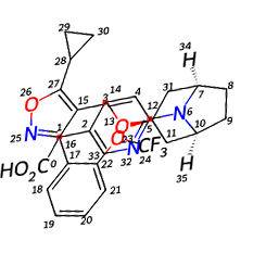 O=C(O)Cc1ccc(N2[C@@H]3CC[C@H]2C[C@@H](OCc2c(-c4ccccc4OC(F)(F)F)noc2C2CC2)C3)nc1